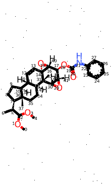 COC(OC)C(C)[C@H]1CC[C@H]2[C@@H]3C=C[C@@]45O[C@@H]4[C@@H](OC(=O)Nc4ccccc4)[C@@H]4O[C@@H]4[C@]5(C)[C@H]3CC[C@]12C